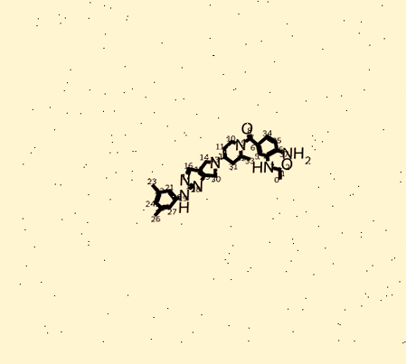 CC(=O)Nc1cc(C(=O)N2CC[C@@H](N3Cc4cnc(Nc5cc(C)cc(C)c5)nc4C3)CC2C)ccc1N